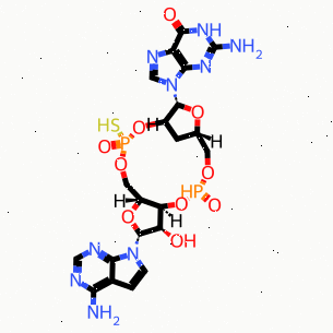 Nc1nc2c(ncn2[C@@H]2O[C@@H]3CO[PH](=O)O[C@H]4[C@@H](O)[C@H](n5ccc6c(N)ncnc65)O[C@@H]4COP(=O)(S)O[C@@H]2C3)c(=O)[nH]1